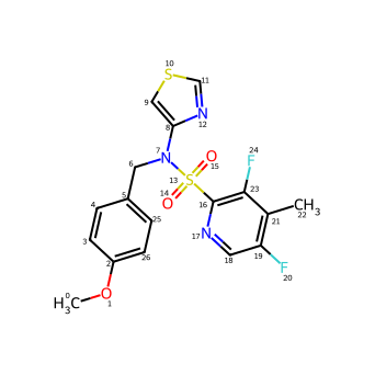 COc1ccc(CN(c2cscn2)S(=O)(=O)c2ncc(F)c(C)c2F)cc1